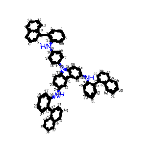 c1ccc(-c2cccc3ccccc23)c(Nc2ccc(-n3c4ccc(Nc5ccccc5-c5cccc6ccccc56)cc4c4cc(Nc5ccccc5-c5cccc6ccccc56)ccc43)cc2)c1